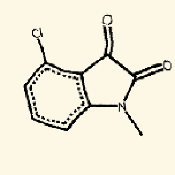 CN1C(=O)C(=O)c2c(Cl)cccc21